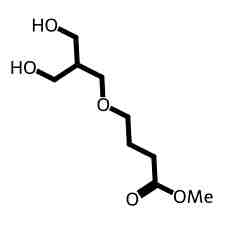 COC(=O)CCCOCC(CO)CO